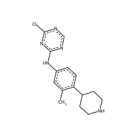 Cc1cc(Nc2ncnc(Cl)n2)ccc1C1CCNCC1